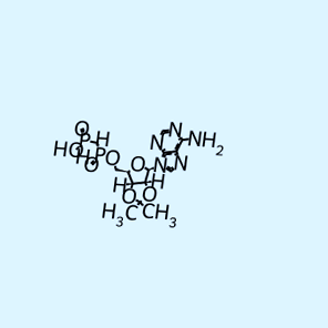 CC1(C)O[C@@H]2[C@H](O1)[C@@H](CO[PH](=O)C[PH](=O)O)O[C@H]2n1cnc2c(N)ncnc21